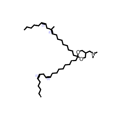 CCCCC/C=C\C/C=C\CCCCCCCCC1(CCCCCCCC/C=C(\C)C/C=C\CCCCC)OCC(CN(C)C)CO1